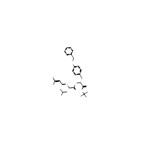 CC(C)=CCN[C@@H](CC(C)C)C(=O)N[C@@H](Cc1ccc(OCc2ccccc2)cc1)C(=O)OC(C)(C)C